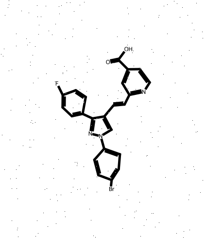 O=C(O)c1ccnc(C=Cc2cn(-c3ccc(Br)cc3)nc2-c2ccc(F)cc2)c1